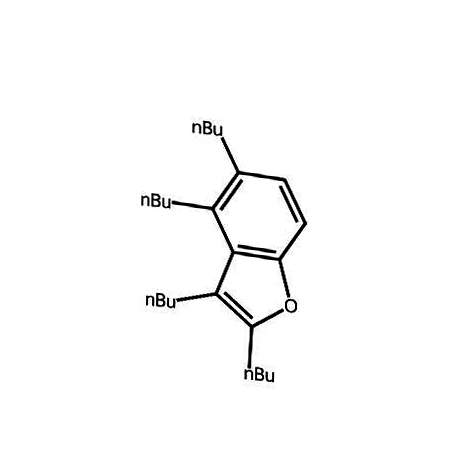 CCCCc1ccc2oc(CCCC)c(CCCC)c2c1CCCC